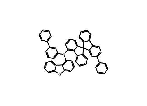 c1ccc(-c2cccc(N(c3cccc4c3-c3ccccc3C43c4ccccc4-c4ccc(-c5ccccc5)cc43)c3cccc4oc5ccccc5c34)c2)cc1